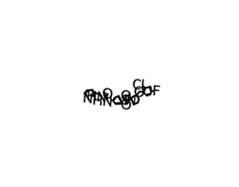 O=C(NCc1cccnc1)Nc1ccc(S(=O)(=O)N2CCCC(Oc3ccc(F)cc3Cl)C2)cc1